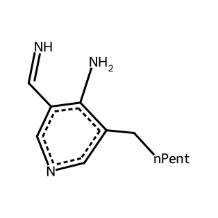 CCCCCCc1cncc(C=N)c1N